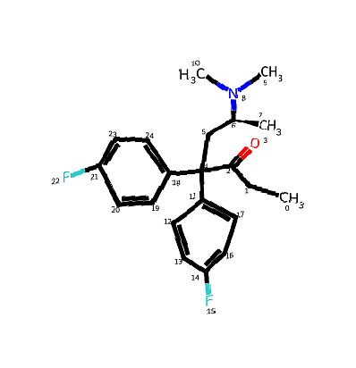 CCC(=O)C(C[C@H](C)N(C)C)(c1ccc(F)cc1)c1ccc(F)cc1